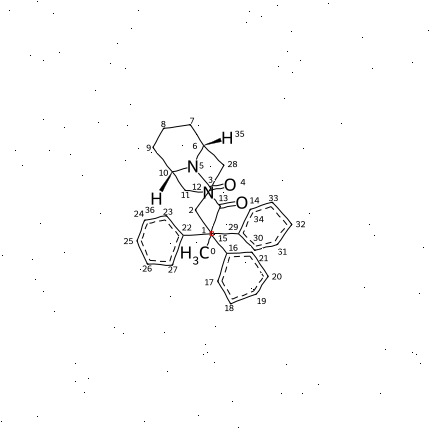 CC(CC(=O)N1[C@@H]2CCC[C@H]1CN(C(=O)C(c1ccccc1)c1ccccc1)C2)c1ccccc1